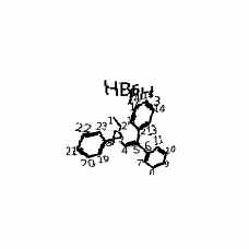 Br.CCP(C=C(c1ccccc1)c1ccccc1)c1ccccc1.P